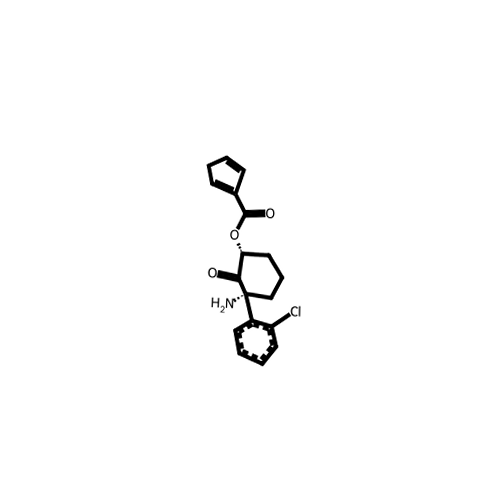 N[C@@]1(c2ccccc2Cl)CCC[C@@H](OC(=O)C2=CCC=C2)C1=O